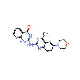 Cc1nc(Nc2nc(=O)c3ccccc3[nH]2)nc2ccc(N3CCOCC3)cc12